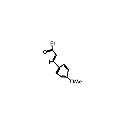 CCC(=O)C=C(I)c1ccc(OC)cc1